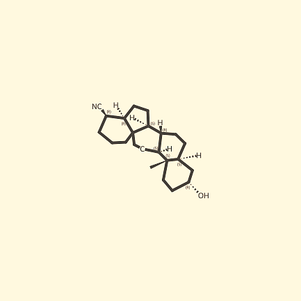 C[C@]12CC[C@@H](O)C[C@@H]1CC[C@H]1[C@@H]3CC[C@@H]4[C@H](C#N)CCCC43CC[C@@H]12